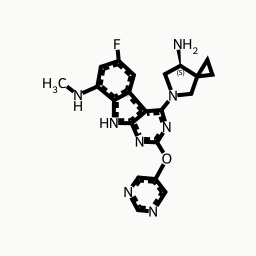 CNc1cc(F)cc2c1[nH]c1nc(Oc3cncnc3)nc(N3C[C@@H](N)C4(CC4)C3)c12